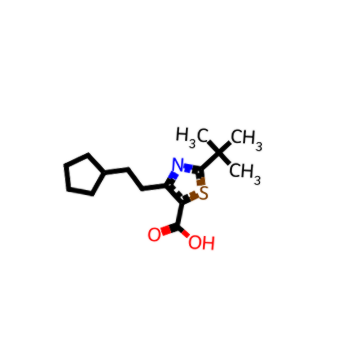 CC(C)(C)c1nc(CCC2CCCC2)c(C(=O)O)s1